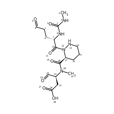 CNC(=O)N[C@@H](CCC=O)C(=O)N1NCCC[C@H]1C(=O)N(C)[C@H](C=O)CC(=O)O